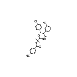 CC(NC(=O)C(C)(C)OC(=O)c1ccc(C#N)cc1)C(Cc1ccc(Cl)cc1)c1cccc(C#N)c1